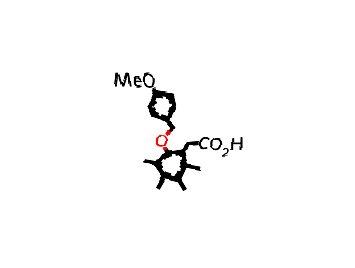 COc1ccc(COc2c(C)c(C)c(C)c(C)c2CC(=O)O)cc1